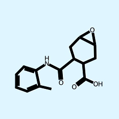 Cc1ccccc1NC(=O)C1CC2OC2CC1C(=O)O